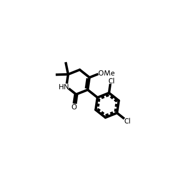 COC1=C(c2ccc(Cl)cc2Cl)C(=O)NC(C)(C)C1